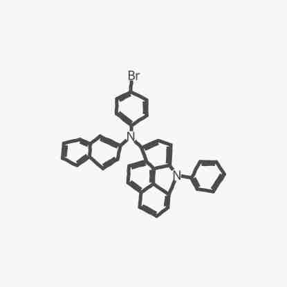 Brc1ccc(N(c2ccc3ccccc3c2)c2ccc3c4c2ccc2cccc(c24)n3-c2ccccc2)cc1